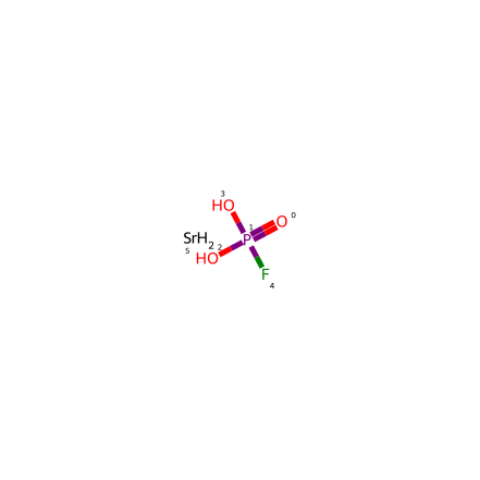 O=P(O)(O)F.[SrH2]